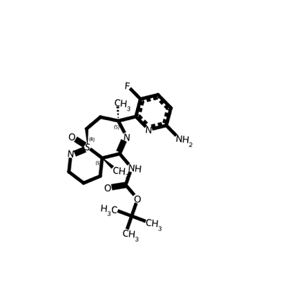 CC(C)(C)OC(=O)NC1=N[C@](C)(c2nc(N)ccc2F)CC[S@]2(=O)=NCCC[C@@]12C